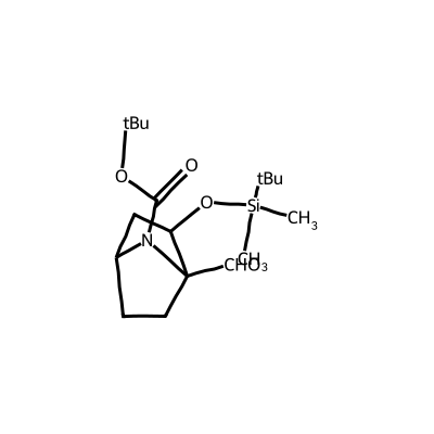 CC(C)(C)OC(=O)N1C2CCC1(C=O)C(O[Si](C)(C)C(C)(C)C)C2